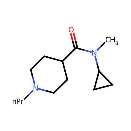 CCCN1CCC(C(=O)N(C)C2CC2)CC1